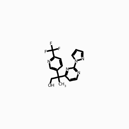 CC(CO)(c1ccc(C(F)(F)F)nc1)c1ccnc(-n2cccn2)n1